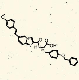 COc1ccc(C=Cc2ccc3nc(C(=O)N[C@@H](Cc4ccc(OCc5ccccc5)cc4)C(=O)O)cn3c2)cc1